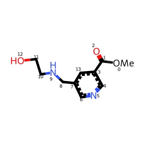 COC(=O)c1cncc(CNCCO)c1